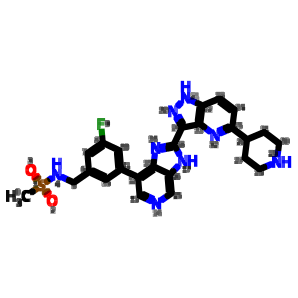 CS(=O)(=O)NCc1cc(F)cc(-c2cncc3[nH]c(-c4n[nH]c5ccc(C6CCNCC6)nc45)nc23)c1